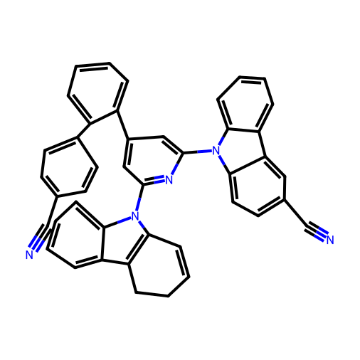 N#Cc1ccc(-c2ccccc2-c2cc(-n3c4c(c5ccccc53)CCC=C4)nc(-n3c4ccccc4c4cc(C#N)ccc43)c2)cc1